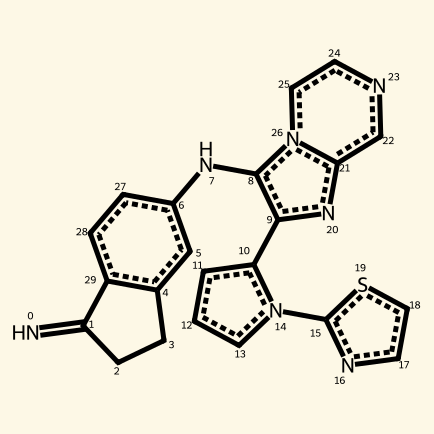 N=C1CCc2cc(Nc3c(-c4cccn4-c4nccs4)nc4cnccn34)ccc21